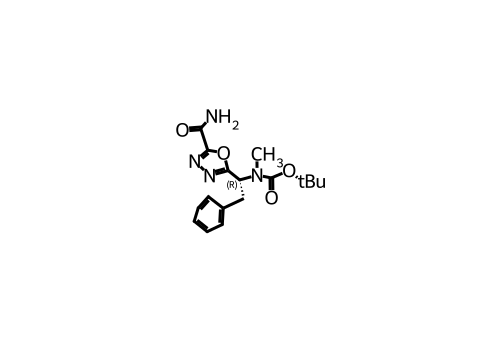 CN(C(=O)OC(C)(C)C)[C@H](Cc1ccccc1)c1nnc(C(N)=O)o1